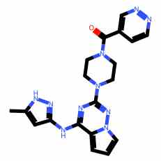 Cc1cc(Nc2nc(N3CCN(C(=O)c4ccnnc4)CC3)nn3cccc23)n[nH]1